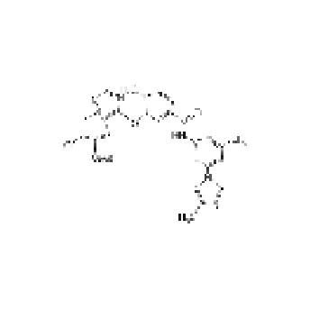 COc1cc2c(Oc3cc(C(=O)Nc4cc(-n5cnc(C)c5)cc(C(F)(F)F)c4)ccc3C)ncnc2cc1Cl